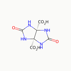 O=C1N[C@]2(C(=O)O)NC(=O)N[C@]2(C(=O)O)N1